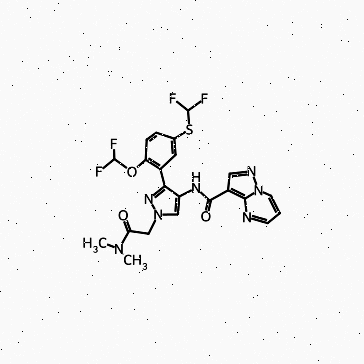 CN(C)C(=O)Cn1cc(NC(=O)c2cnn3cccnc23)c(-c2cc(SC(F)F)ccc2OC(F)F)n1